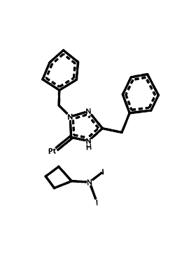 IN(I)C1CCC1.[Pt]=[c]1[nH]c(Cc2ccccc2)nn1Cc1ccccc1